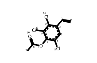 C=Cc1cc(Cl)c(OC(C)=O)c(Cl)c1Cl